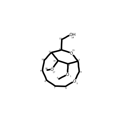 COC1C2COCCCCCC(C(CO)O2)C1OC